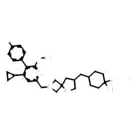 CCOc1nc(CN2CC3(CC(CC4CCC(C)(C(=O)O)CC4)CO3)C2)cc(C2CC2)c1-c1ccc(F)cc1